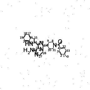 Cc1ccc(C(=O)N2CCC(c3nc(-c4cc5ccccc5[nH]4)c4c(N)nccn34)CC2)cc1